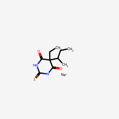 CCC(C)C1(CC)C(=O)[N-]C(=S)NC1=O.[Na+]